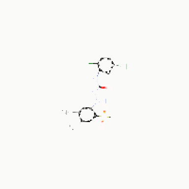 CS(=O)(=O)c1cc(C#N)c(C#N)cc1NNC(=O)Nc1cc(Cl)ccc1Cl